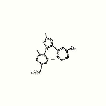 CCCCCCc1cc(C)c(-n2nc(C)nc2-c2cccc(Br)c2)c(C)c1